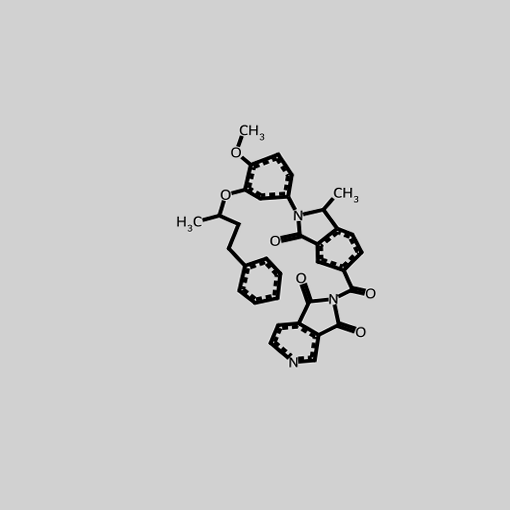 COc1ccc(N2C(=O)c3cc(C(=O)N4C(=O)c5ccncc5C4=O)ccc3C2C)cc1OC(C)CCc1ccccc1